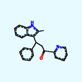 Cc1[nH]c2ccccc2c1C(CC(=O)c1ccccn1)c1ccccc1